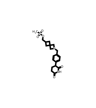 CS(=O)(=O)OCC1CC2(C1)CN(Cc1ccc(C3CCC(=O)NC3=O)cc1)C2